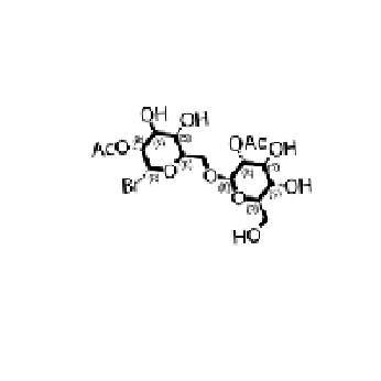 CC(=O)O[C@@H]1[C@@H](O)[C@H](O)[C@@H](CO[C@@H]2O[C@H](CO)[C@@H](O)[C@H](O)[C@H]2OC(C)=O)O[C@@H]1Br